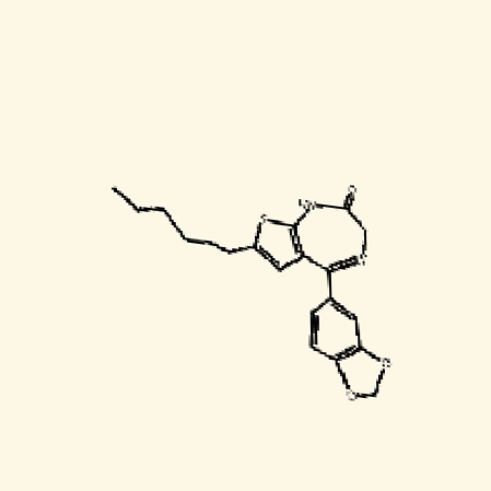 CCCCCCc1cc2c(s1)NC(=O)CN=C2c1ccc2c(c1)OCO2